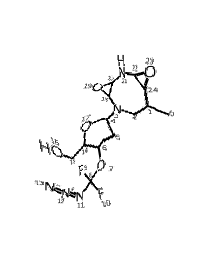 CC1CN(C2CC(OC(F)(F)N=[N+]=[N-])C(CO)O2)C2OC2NC2OC12